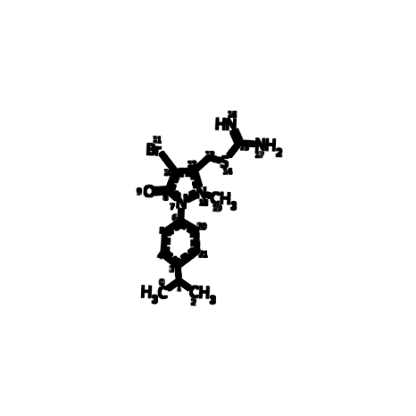 CC(C)c1ccc(-n2c(=O)c(Br)c(CSC(=N)N)n2C)cc1